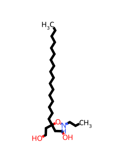 CCCCCCCCCCCCCCCCCC(CCO)(CCO)ONCCC